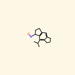 CC(C)c1c2c(cc3c1C(N=O)CC3)CCC2